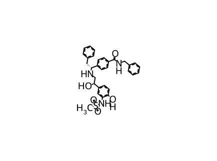 CS(=O)(=O)Nc1cc([C@@H](O)CN[C@H](Cc2ccccc2)c2ccc(C(=O)NCc3ccccc3)cc2)ccc1O